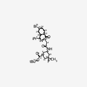 CC(C)c1nn(CC(=O)NC2CN(C(=O)OC(C)(C)C)CC(C)(F)C2)c(=O)c2ccc(Br)cc12